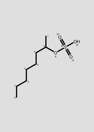 CCCCCCC(C)OS(=O)(=O)O